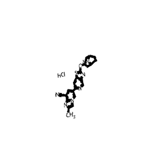 Cc1cn2cc(-c3cc4sc(OC5CC6CCC(C5)N6)nc4cn3)cc(C#N)c2n1.Cl